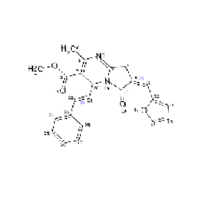 COC(=O)C1=C(C)N=C2C/C(=C/c3ccco3)C(=O)N2C1/C=C/c1ccccc1